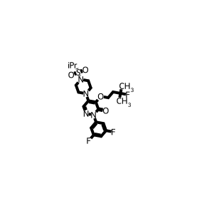 CC(C)S(=O)(=O)N1CCN(c2cnn(-c3cc(F)cc(F)c3)c(=O)c2OCCC(C)(C)F)CC1